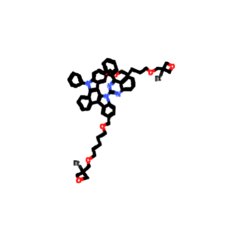 CCC1(COCCCCCOCc2ccc3c(c2)c2c(c4ccccc4c4c5cc(COCCCCCOCC6(CC)COC6)ccc5n(-c5nc(-c6ccccc6)c6ccccc6n5)c42)n3-c2ccccc2)COC1